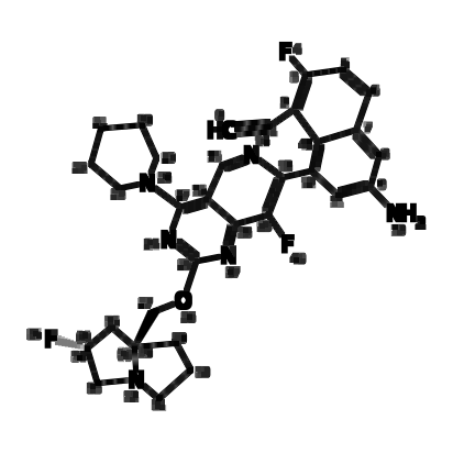 C#Cc1c(F)ccc2cc(N)cc(-c3ncc4c(N5CCCCC5)nc(OC[C@@]56CCCN5C[C@H](F)C6)nc4c3F)c12